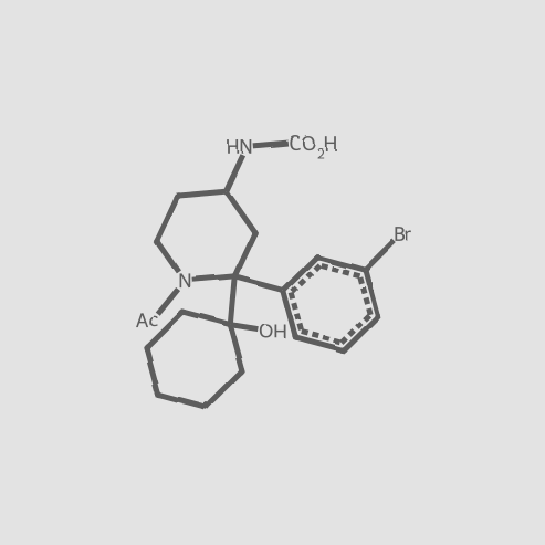 CC(=O)N1CCC(NC(=O)O)CC1(c1cccc(Br)c1)C1(O)CCCCC1